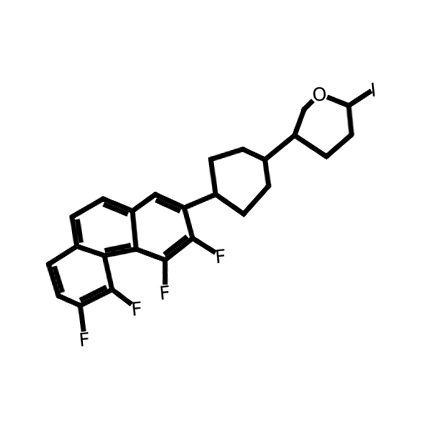 Fc1ccc2ccc3cc(C4CCC(C5CCC(I)OC5)CC4)c(F)c(F)c3c2c1F